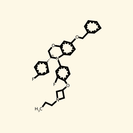 CCCN1CC(Oc2ccc(N3c4ccc(OCc5ccccc5)cc4OC[C@H]3c3ccc(F)cc3)cc2F)C1